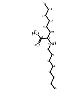 CCCCCCCCNC(CCCCCC)C(=O)O